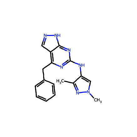 Cc1nn(C)cc1Nc1nc(Cc2ccccc2)c2cn[nH]c2n1